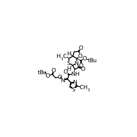 Cc1nc(/C(=N/OCC(=O)OC(C)(C)C)C(=O)N[C@@H]2C(=O)N3[C@@H]2S[C@@H](C)[C@@H]2CC(=O)O[C@@]23C(=O)OC(C)(C)C)cs1